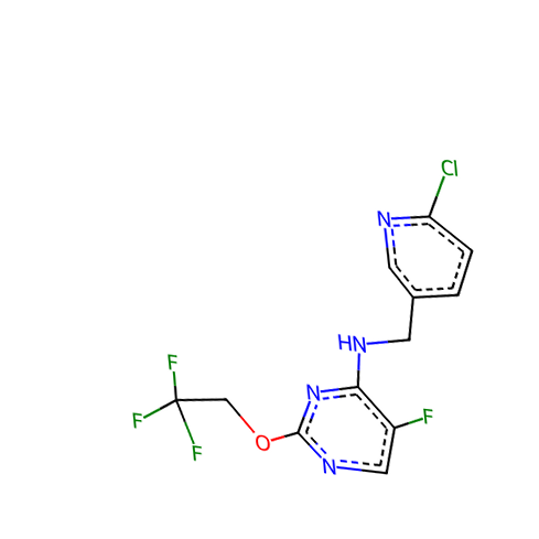 Fc1cnc(OCC(F)(F)F)nc1NCc1ccc(Cl)nc1